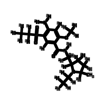 [2H]c1c(OC([2H])([2H])[2H])c(C(=O)N([2H])C([2H])([2H])C2([2H])N(C([2H])([2H])C([2H])([2H])[2H])C([2H])(C)C([2H])([2H])C2([2H])[2H])c([2H])c(S(=O)(=O)C([2H])([2H])C([2H])([2H])[2H])c1N([2H])[2H]